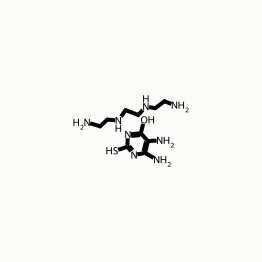 NCCNCCNCCN.Nc1nc(S)nc(O)c1N